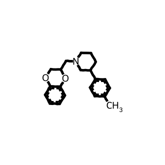 Cc1ccc(C2CCCN(CC3COc4ccccc4O3)C2)cc1